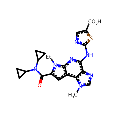 CCn1c(C(=O)N(C2CC2)C2CC2)cc2c3c(ncn3C)c(Nc3ncc(C(=O)O)s3)nc21